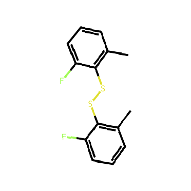 Cc1cccc(F)c1SSc1c(C)cccc1F